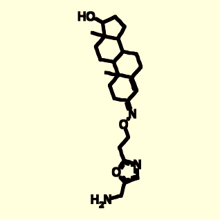 CC12CCC(=NOCCc3ncc(CN)o3)C=C1CCC1C2CCC2(C)C(O)CCC12